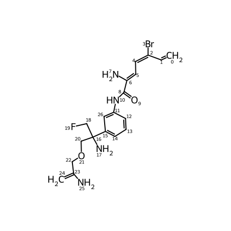 C=C/C(Br)=C\C=C(/N)C(=O)Nc1cccc(C(N)(CF)COCC(=C)N)c1